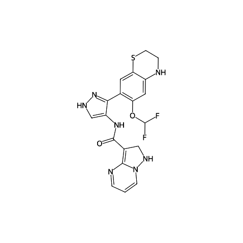 O=C(Nc1c[nH]nc1-c1cc2c(cc1OC(F)F)NCCS2)C1=C2N=CC=CN2NC1